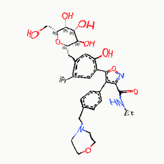 CCNC(=O)c1noc(-c2cc(C(C)C)c(C[C@@H]3O[C@H](CO)[C@H](O)[C@H](O)[C@H]3O)cc2O)c1-c1ccc(CN2CCOCC2)cc1